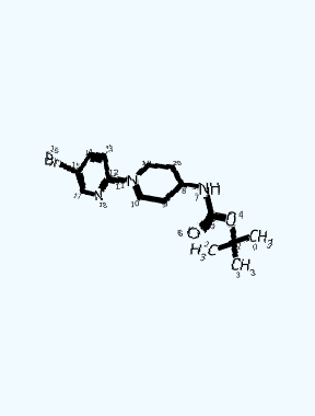 CC(C)(C)OC(=O)NC1CCN(c2ccc(Br)cn2)CC1